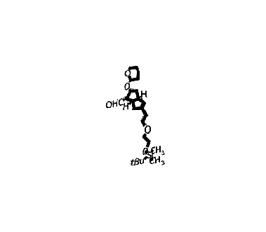 CC(C)(C)[Si](C)(C)OCCOCCC1=C[C@@H]2C[C@H](OC3CCCCO3)[C@@H](C=O)[C@@H]2C1